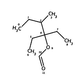 CCC(C)C(CC)(CC)OC=O